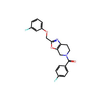 O=C(c1ccc(F)cc1)N1CCc2nc(COc3cccc(F)c3)oc2C1